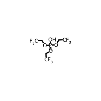 O[PH](OCC(F)(F)F)(OCC(F)(F)F)OCC(F)(F)F